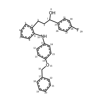 OC(CCc1ccccc1Nc1ccc(OCc2ccccc2)cc1)c1ccc(F)cc1